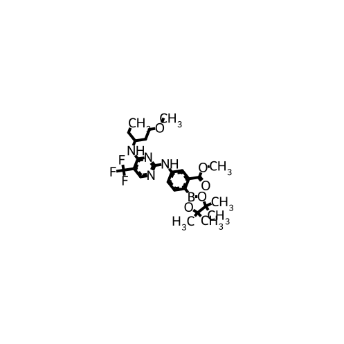 CCC(CCOC)Nc1nc(Nc2ccc(B3OC(C)(C)C(C)(C)O3)c(C(=O)OC)c2)ncc1C(F)(F)F